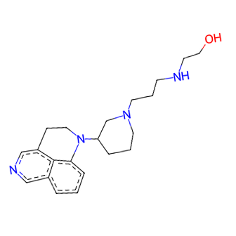 OCCNCCCN1CCCC(N2CCc3cncc4cccc2c34)C1